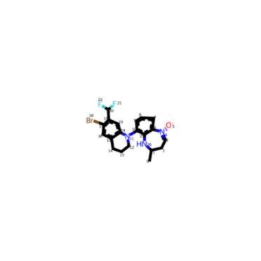 CC1CC=[N+]([O-])c2cccc(N3CCCc4cc(Br)c(C(F)F)cc43)c2N1